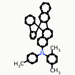 Cc1ccc(N(c2ccc3c4c(ccc3c2)-c2cc3ccccc3cc2C42c3ccccc3-c3ccccc32)c2cc(C)ccc2C)cc1